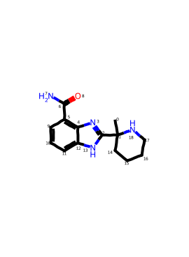 CC1(c2nc3c(C(N)=O)cccc3[nH]2)CCCCN1